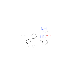 COc1cccc(-c2cc(OCc3c(C)cccc3NC(=O)N(C)N=N)ccc2OC)c1